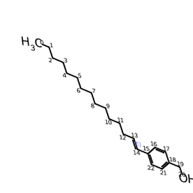 CCCCCCCCCCCCC/C=C/c1ccc(CO)cc1